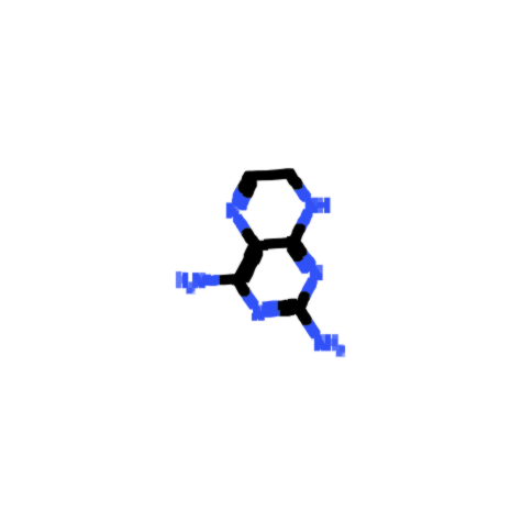 Nc1nc(N)c2c(n1)NCC=N2